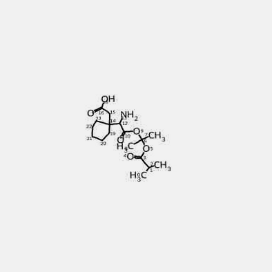 CC(C)C(=O)OC(C)(C)OC(=O)C(N)C1(CC(=O)O)CCCCC1